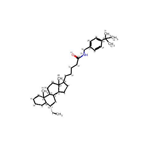 CC[C@H]1CC2C3CCC(CCCCC(=O)NCc4ccc(C(C)(C)C)cc4)C3(C)CCC2C2(C)CCCCC12